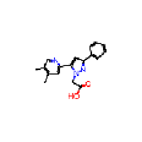 Cc1cnc(-c2cc(-c3ccccc3)nn2CC(=O)O)cc1C